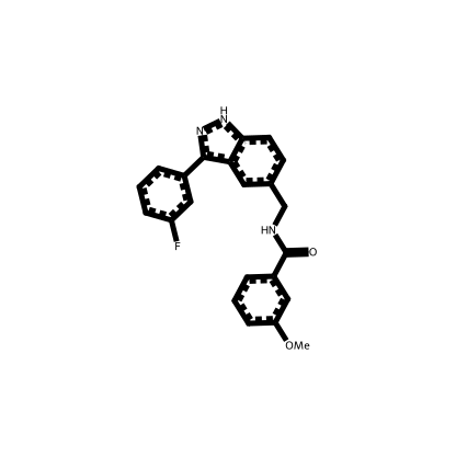 COc1cccc(C(=O)NCc2ccc3[nH]nc(-c4cccc(F)c4)c3c2)c1